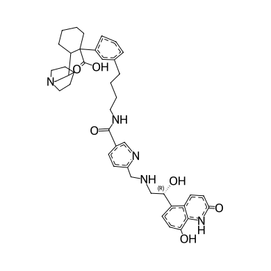 O=C(NCCCCc1cccc(C2(C(=O)O)CCCCC2C2CN3CCC2CC3)c1)c1ccc(CNC[C@H](O)c2ccc(O)c3[nH]c(=O)ccc23)nc1